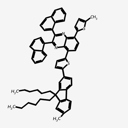 CCCCCCC1(CCCCCC)c2cc(C)ccc2-c2ccc(-c3ccc(-c4ccc(-c5ccc(C)s5)c5nc(-c6cccc7ccccc67)c(-c6cccc7ccccc67)nc45)s3)cc21